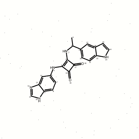 CC(Nc1c(Nc2ccc3[nH]cnc3c2)c(=O)c1=O)c1ccc2[nH]ccc2c1